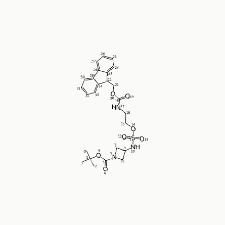 CC(C)(C)OC(=O)N1CC(NS(=O)(=O)OCCNC(=O)OCC2c3ccccc3-c3ccccc32)C1